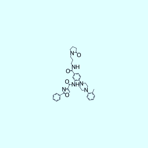 Cc1ccccc1N1CCN(c2ccc(C(=O)NCCCN3CCCC3=O)cc2NC(=O)c2coc(-c3ccccc3)n2)CC1